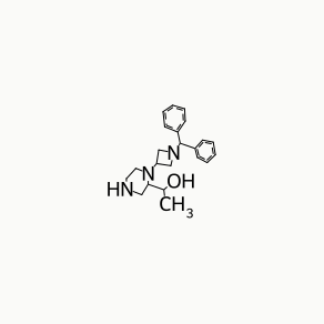 CC(O)C1CNCCN1C1CN(C(c2ccccc2)c2ccccc2)C1